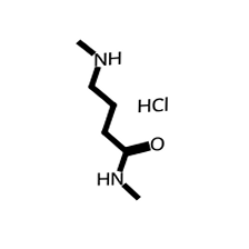 CNCCCC(=O)NC.Cl